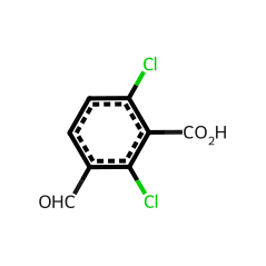 O=Cc1ccc(Cl)c(C(=O)O)c1Cl